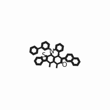 CC1C2=C3C(C)(c4ccccc4N(c4cccc(-c5ccccc5)c4)C3(C)c3sc4ccccc4c3C2C)c2c1oc1c2ccc2ccccc21